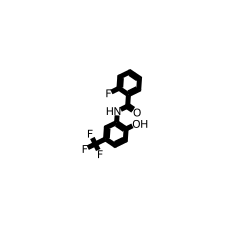 O=C(Nc1cc(C(F)(F)F)ccc1O)c1ccccc1F